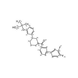 CC(C)(Oc1cccc(C2CCCN(C(=O)c3cccc(-c4ccc(F)c(F)c4)c3)C2)c1)C(=O)O